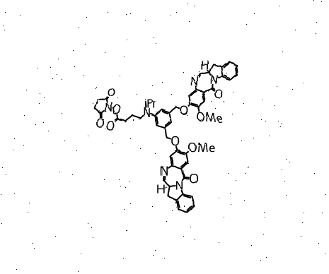 COc1cc2c(cc1OCc1cc(COc3cc4c(cc3OC)C(=O)N3c5ccccc5C[C@H]3C=N4)cc(N(CCCC(=O)ON3C(=O)CCC3=O)C(C)C)c1)N=C[C@@H]1Cc3ccccc3N1C2=O